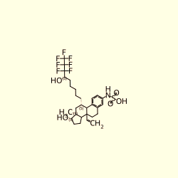 C=CC12CCc3cc(NS(=O)(=O)O)ccc3C1[C@@H](CCCCC[C@H](O)C(F)(F)C(F)(F)C(F)(F)F)C[C@@]1(C)C2CC[C@@H]1O